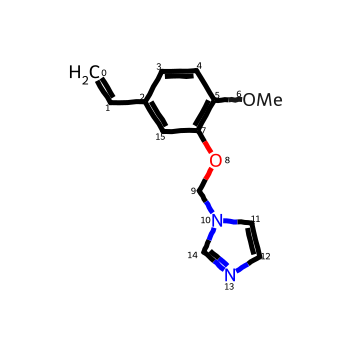 C=Cc1ccc(OC)c(OCn2ccnc2)c1